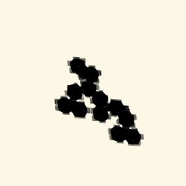 c1cc(-c2cc(-c3ccc4c(c3)c3ccccc3n4-c3ccc4sc5ccc(-n6c7ccccc7c7ccccc76)cc5c4c3)cc(-c3cccc4c3sc3ccccc34)c2)cc(-n2c3ccccc3c3ccccc32)c1